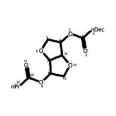 CCCCCCCCCCC(=O)OC1COC2C(OC(=O)CCC)COC12